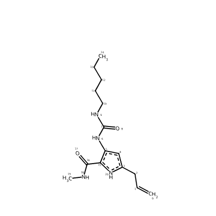 C=CCc1cc(NC(=O)NCCCCC)c(C(=O)NC)[nH]1